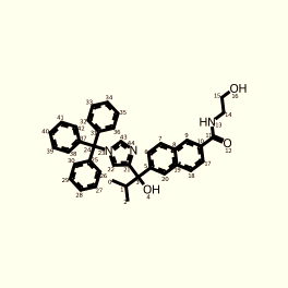 CC(C)C(O)(c1ccc2cc(C(=O)NCCO)ccc2c1)c1cn(C(c2ccccc2)(c2ccccc2)c2ccccc2)cn1